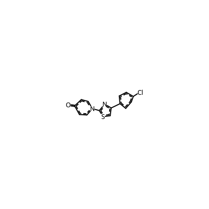 O=c1ccn(-c2nc(-c3ccc(Cl)cc3)cs2)cc1